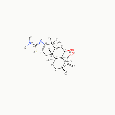 C=C1C(=O)[C@]23C(C)[C@H]1CC[C@H]2[C@]1(C)Cc2sc(N(C)C)nc2C(C)(C)[C@H]1C[C@H]3O